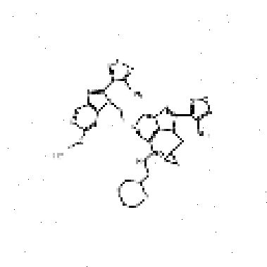 CCn1c(-c2nonc2N)nc2cnc(OC)cc21.Cl.Nc1nonc1-c1nc2cncc(C(=O)NCC3CNCCO3)c2n1CC1CC1